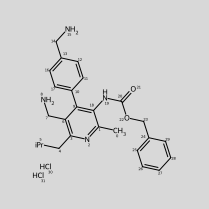 Cc1nc(CC(C)C)c(CN)c(-c2ccc(CN)cc2)c1NC(=O)OCc1ccccc1.Cl.Cl